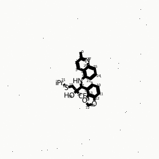 Cc1ccc2c(NC(c3cccc4c3OCO4)C(O)(CSC(C)C)C(F)(F)F)cccc2n1